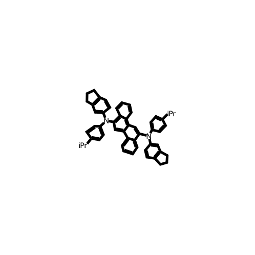 CC(C)c1ccc(N(c2ccc3c(c2)CCC3)c2cc3c4ccccc4c(N(c4ccc(C(C)C)cc4)c4ccc5c(c4)CCC5)cc3c3ccccc23)cc1